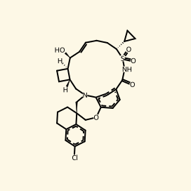 O=C1NS(=O)(=O)[C@@H](C2CC2)CC/C=C/[C@H](O)[C@@H]2CC[C@H]2CN2C[C@@]3(CCCc4cc(Cl)ccc43)COc3ccc1cc32